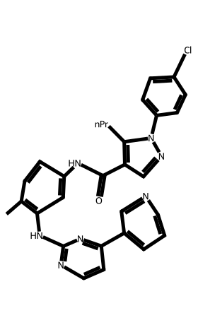 CCCc1c(C(=O)Nc2ccc(C)c(Nc3nccc(-c4cccnc4)n3)c2)cnn1-c1ccc(Cl)cc1